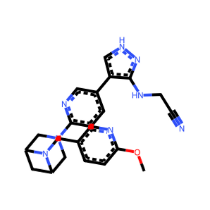 COc1ccc(CN2C3CC2CN(c2ccc(-c4c[nH]nc4NCC#N)cn2)C3)cn1